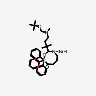 Br.CN(CCC(C)(C)C1NCCCC(=O)P(c2ccccc2)(c2ccccc2)(c2ccccc2)O1)COC(C)(C)C